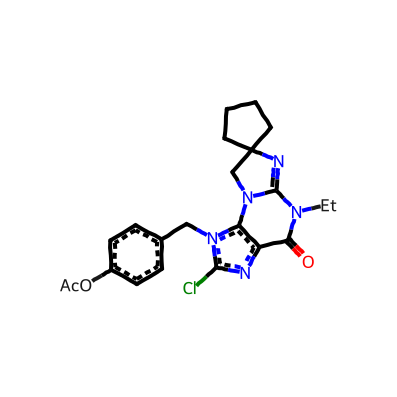 CCN1C(=O)c2nc(Cl)n(Cc3ccc(OC(C)=O)cc3)c2N2CC3(CCCC3)N=C12